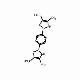 CC1=C(C(=O)O)SN(c2ccc(N3NC(C)=C(C(=O)O)S3)cc2)N1